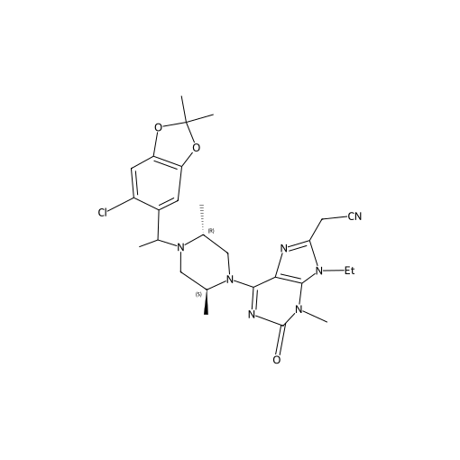 CCn1c(CC#N)nc2c(N3C[C@@H](C)N(C(C)c4cc5c(cc4Cl)OC(C)(C)O5)C[C@@H]3C)nc(=O)n(C)c21